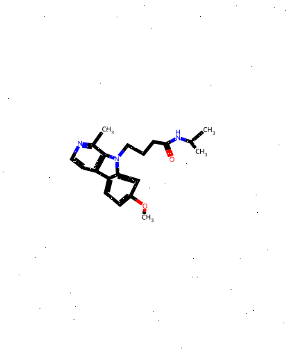 COc1ccc2c3ccnc(C)c3n(CCCC(=O)NC(C)C)c2c1